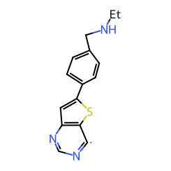 CCNCc1ccc(-c2cc3ncn[c]c3s2)cc1